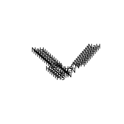 N#CS.N#CS.N#CS.N#CS.N#CS.N#CS.N#CS.N#CS.N#CS.[NaH].[NaH].[NaH].[NaH].[NaH].[NaH].[NaH].[NaH].[NaH].[NaH].[NaH].[NaH].[NaH].[NaH].[NaH].[NaH].[NaH].[NaH].[NaH].[NaH].[NaH].[NaH]